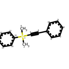 CS(C)(C#Cc1ccccc1)c1ccccc1